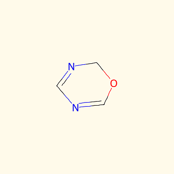 C1=NC=NCO1